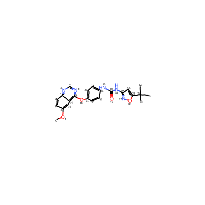 COc1ccc2ncnc(Oc3ccc(NC(=O)Nc4cc(C(C)(C)C)on4)cc3)c2c1